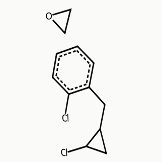 C1CO1.Clc1ccccc1CC1CC1Cl